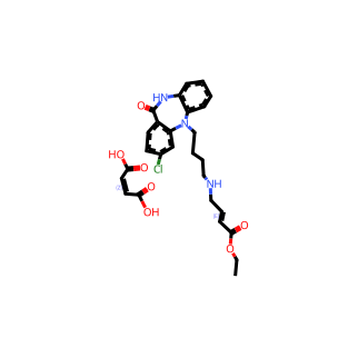 CCOC(=O)/C=C/CNCCCCN1c2ccccc2NC(=O)c2ccc(Cl)cc21.O=C(O)/C=C\C(=O)O